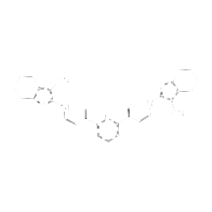 N#Cc1c(N/C=C\C(=O)c2cccc(C(=O)/C=C\Nc3sc4c(c3C#N)CCCC4)n2)sc2c1CCCC2